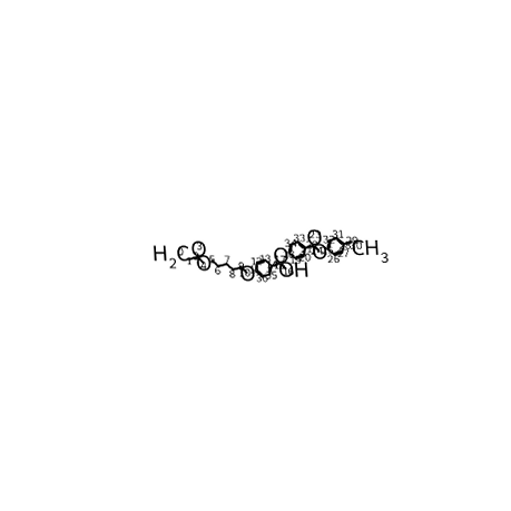 C=CC(=O)OCCCCCOc1ccc(C(O)Oc2ccc(C(=O)Oc3ccc(CC)cc3)cc2)cc1